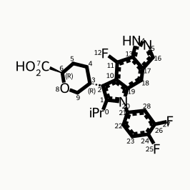 CC(C)c1c([C@H]2CC[C@H](C(=O)O)OC2)c2c(F)c3[nH]ncc3cc2n1-c1ccc(F)c(F)c1